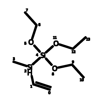 C=C[SiH](C)[Si](OCC)(OCC)OCC